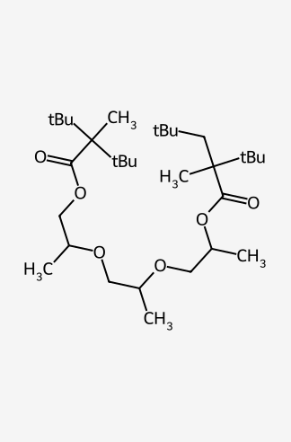 CC(COC(=O)C(C)(C(C)(C)C)C(C)(C)C)OCC(C)OCC(C)OC(=O)C(C)(CC(C)(C)C)C(C)(C)C